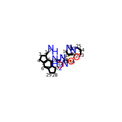 N#CC1CCc2cc3c(c(NC(=O)N=S(N)(=O)c4cnn5c4OCCC5)c21)CCC3